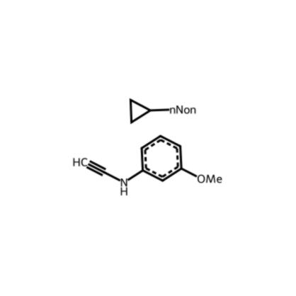 C#CNc1cccc(OC)c1.CCCCCCCCCC1CC1